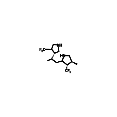 CC(CC1NC[C@@H](C)[C@@H]1C(F)(F)F)[C@H]1CNC[C@@H]1C(F)(F)F